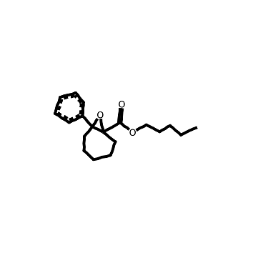 CCCCCOC(=O)C12CCCCCC1(c1ccccc1)O2